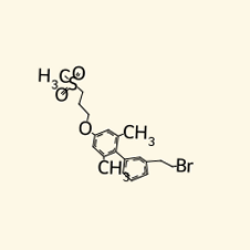 Cc1cc(OCCCS(C)(=O)=O)cc(C)c1-c1cccc(CCBr)c1